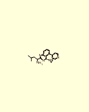 CC(C)CC(N)c1nc(N2CC2)c2c(-c3ccncc3)cccc2n1